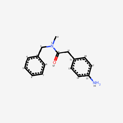 CN(Cc1ccccc1)C(=O)Cc1ccc(N)cc1